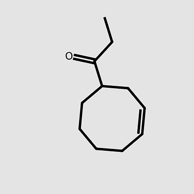 CCC(=O)C1CC=CCCCC1